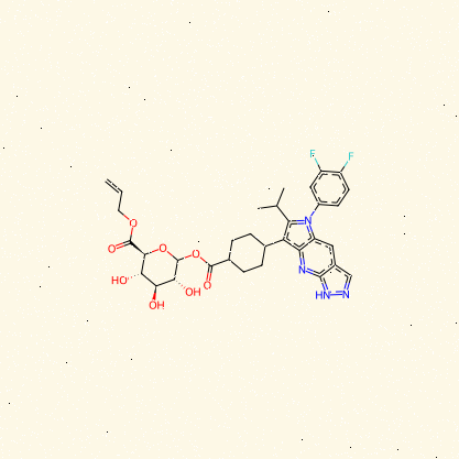 C=CCOC(=O)[C@H]1OC(OC(=O)C2CCC(c3c(C(C)C)n(-c4ccc(F)c(F)c4)c4cc5cn[nH]c5nc34)CC2)[C@H](O)[C@@H](O)[C@@H]1O